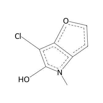 Cn1c(O)c(Cl)c2occc21